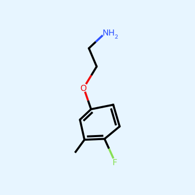 Cc1cc(OCCN)ccc1F